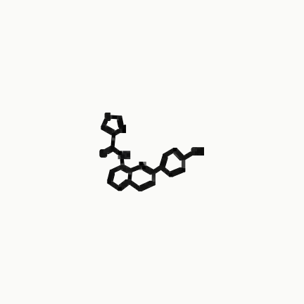 O=C(Nc1cccc2ccc(-c3ccc(O)cc3)nc12)c1cscn1